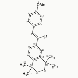 CCC(=Cc1ccc(OC)cc1)c1ccc2c(c1)C(C)(C)CCC2(C)C